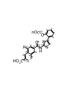 CCCCCCCCOc1ccccc1-c1csc(NC(=O)c2cc(F)c(C=C(C)C(=O)O)c(F)c2)n1